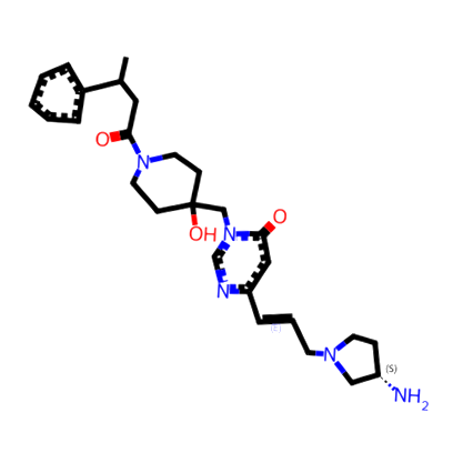 CC(CC(=O)N1CCC(O)(Cn2cnc(/C=C/CN3CC[C@H](N)C3)cc2=O)CC1)c1ccccc1